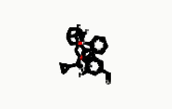 O=Cc1cc(F)c2nc(N3CC4CC(C3)C4OCc3c(-c4ccccc4OC(F)(F)F)noc3C3CC3)sc2c1